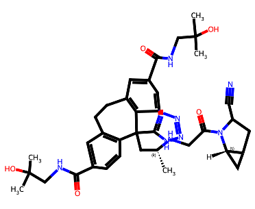 C[C@H](CC1(c2nnn[nH]2)c2ccc(C(=O)NCC(C)(C)O)cc2CCc2cc(C(=O)NCC(C)(C)O)ccc21)NCC(=O)N1C(C#N)CC2C[C@@H]21